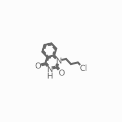 O=c1[nH]c(=O)n(CCCCl)c2ccccc12